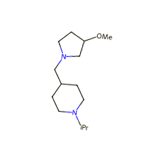 COC1CCN(CC2CCN(C(C)C)CC2)C1